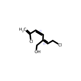 C=C(Cl)/C=C\C(=C/CCl)CO